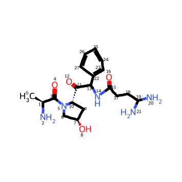 C[C@H](N)C(=O)N1C[C@H](O)C[C@H]1C(=O)C(NC(=O)CCC(N)N)c1ccccc1